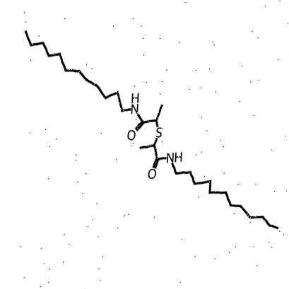 CCCCCCCCCCCCNC(=O)C(C)SC(C)C(=O)NCCCCCCCCCCCC